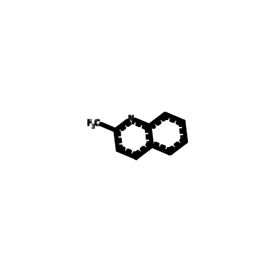 FC(F)(F)c1c[c]c2ccccc2n1